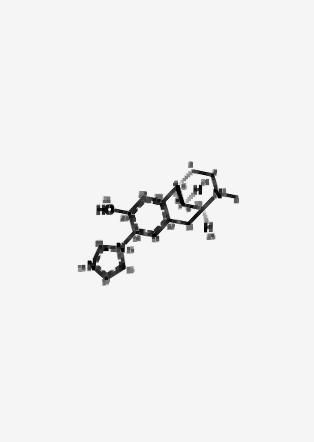 CN1CC[C@@]23CCCC[C@@H]2[C@@H]1Cc1cc(-n2ccnc2)c(O)cc13